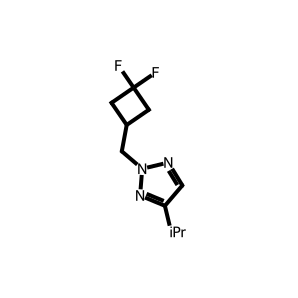 CC(C)c1cnn(CC2CC(F)(F)C2)n1